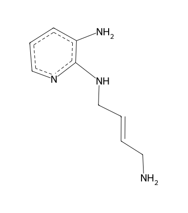 NC/C=C/CNc1ncccc1N